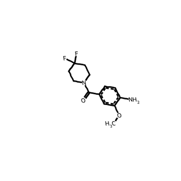 COc1cc(C(=O)N2CCC(F)(F)CC2)ccc1N